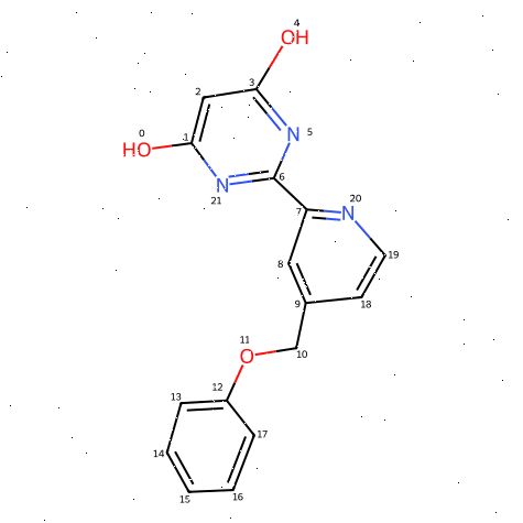 Oc1cc(O)nc(-c2cc(COc3ccccc3)ccn2)n1